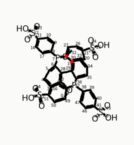 COc1cccc(P(c2ccc(S(=O)(=O)O)cc2)c2ccc(S(=O)(=O)O)cc2)c1-c1c(OC)cccc1P(c1ccc(S(=O)(=O)O)cc1)c1ccc(S(=O)(=O)O)cc1